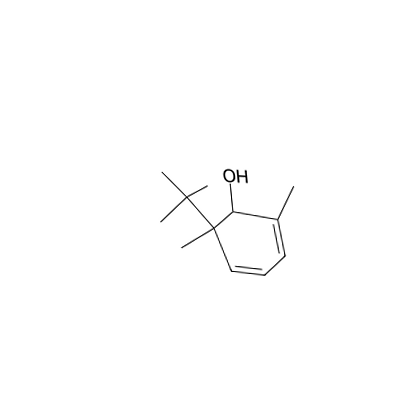 CC1=CC=CC(C)(C(C)(C)C)C1O